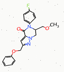 COCC1Cn2nc(COc3ccccc3)cc2C(=O)N1c1ccc(F)cc1